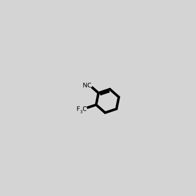 N#CC1=CCCCC1C(F)(F)F